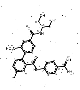 Cc1ccc(-c2ccc(C(=O)N[C@H](CO)CC(C)C)cc2C(=O)O)c(C(=O)Nc2ccc(C(=N)N)cc2)n1